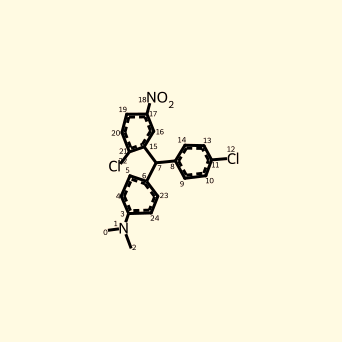 CN(C)c1ccc(C(c2ccc(Cl)cc2)c2cc([N+](=O)[O-])ccc2Cl)cc1